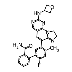 Cc1cc(F)c(-c2ccccc2C(N)=O)cc1C1=Cc2cnc(NC3COC3)nc2N2CCN=C12